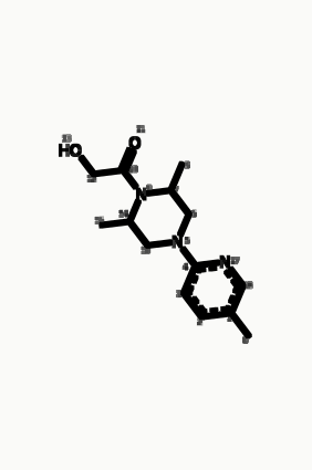 Cc1ccc(N2CC(C)N(C(=O)CO)C(C)C2)nc1